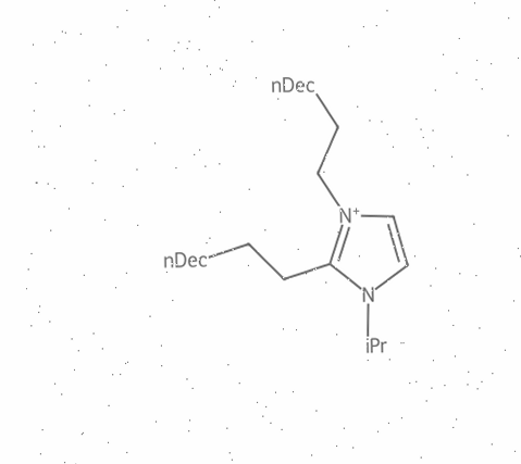 CCCCCCCCCCCCc1n(C(C)C)cc[n+]1CCCCCCCCCCCC